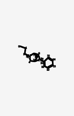 CCCN1CC2CC1CN2c1ccccc1